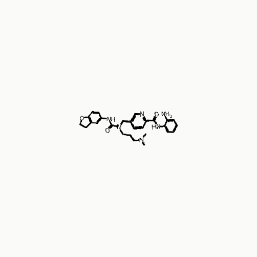 CN(C)CCCN(Cc1ccc(C(=O)Nc2ccccc2N)nc1)C(=O)Nc1ccc2c(c1)CCO2